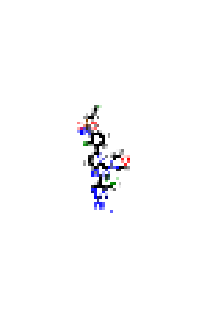 Nc1ncc(-c2nc(N3CCOCC3)c3nc(-c4cccc(NS(=O)(=O)CCCF)c4F)ccc3n2)c(C(F)(F)F)n1